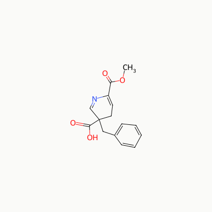 COC(=O)C1=CCC(Cc2ccccc2)(C(=O)O)C=N1